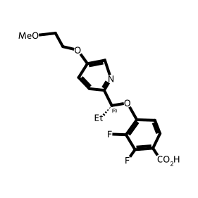 CC[C@@H](Oc1ccc(C(=O)O)c(F)c1F)c1ccc(OCCOC)cn1